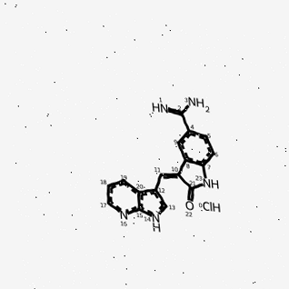 Cl.N=C(N)c1ccc2c(c1)C(=Cc1c[nH]c3ncccc13)C(=O)N2